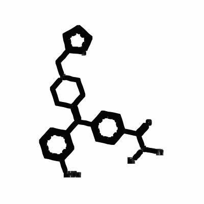 CCN(CC)C(=O)c1ccc(C(=C2CCN(Cc3cccs3)CC2)c2cccc(NC(C)=O)c2)cc1